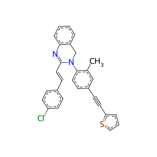 Cc1cc(C#Cc2cccs2)ccc1N1Cc2ccccc2N=C1/C=C/c1ccc(Cl)cc1